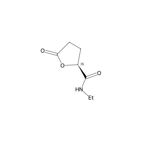 CCNC(=O)[C@@H]1CCC(=O)O1